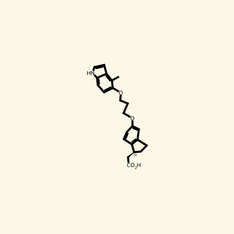 Cc1c(OCCCOc2ccc3c(c2)CC[C@H]3CC(=O)O)ccc2[nH]ccc12